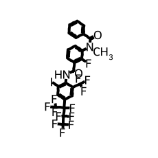 CN(C(=O)c1ccccc1)c1cccc(C(=O)Nc2c(I)cc(C(F)(C(F)(F)F)C(F)(F)C(F)(F)F)cc2C(F)(F)F)c1F